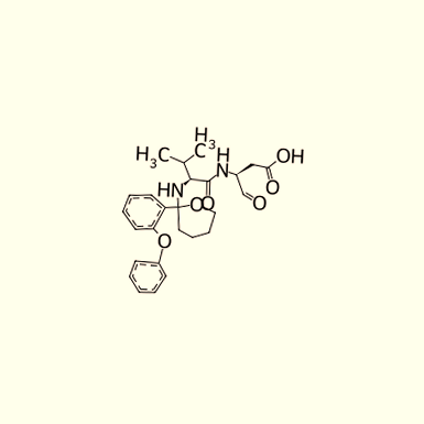 CC(C)[C@H](NC1(c2ccccc2Oc2ccccc2)CCCCO1)C(=O)N[C@H](C=O)CC(=O)O